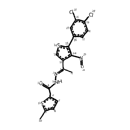 C/C(=N\NC(=O)c1ccc(C)s1)c1csc(-c2ccc(Cl)c(Cl)c2)c1N=O